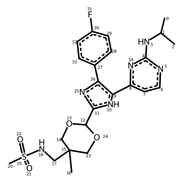 CC(C)Nc1nccc(-c2[nH]c(C3OCC(C)(CNS(C)(=O)=O)CO3)nc2-c2ccc(F)cc2)n1